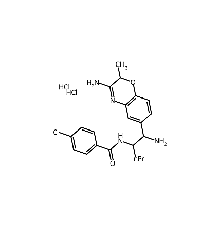 CCCC(NC(=O)c1ccc(Cl)cc1)C(N)c1ccc2c(c1)N=C(N)C(C)O2.Cl.Cl